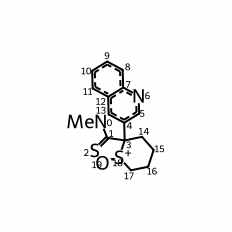 CNC(=S)C1(c2cnc3ccccc3c2)CCCC[S+]1[O-]